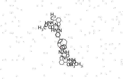 COC(=O)N[C@@H]1C(=O)N2C3C(CCCC3C1C)C[C@H]2c1nc2cc(-c3cc4c(-c5ccc6[nH]c([C@@H]7CC8CCCC9C(C)[C@H](NC(=O)OC)C(=O)N7C89)nc6c5)cc3CCc3ccc(cc3)CC4)ccc2[nH]1